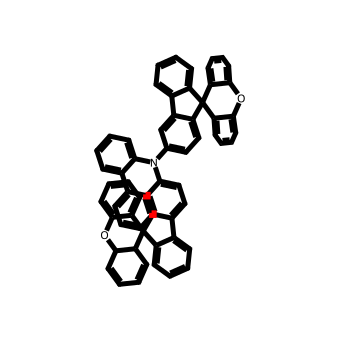 C1=CC2Oc3ccccc3C3(c4ccccc4-c4ccc(N(c5ccc6c(c5)-c5ccccc5C65c6ccccc6Oc6ccccc65)c5ccccc5-c5ccccc5)cc43)C2C=C1